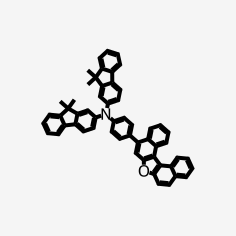 CC1(C)c2ccccc2-c2ccc(N(c3ccc(-c4cc5oc6ccc7ccccc7c6c5c5ccccc45)cc3)c3ccc4c(c3)C(C)(C)c3ccccc3-4)cc21